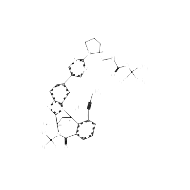 [2H]C([2H])([2H])N1C(=O)c2cccc(C#CC)c2[C@H]2C[C@@H]1c1nc3ccc(-c4cnc(N5CCC[C@@H]5CNC(=O)OC(C)(C)C)nc4)cc3n12